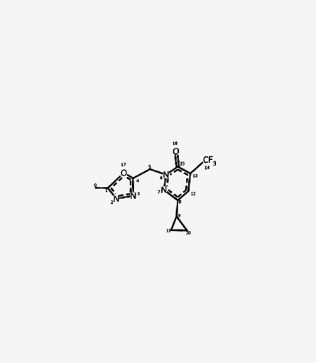 Cc1nnc(Cn2nc(C3CC3)cc(C(F)(F)F)c2=O)o1